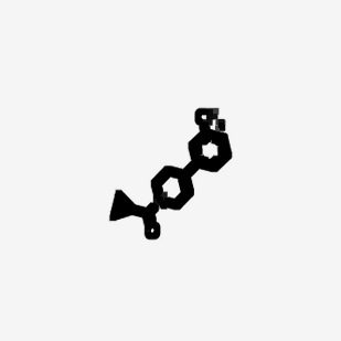 O=C(C1CC1)N1CC=C(c2cccc(C(F)(F)F)c2)CC1